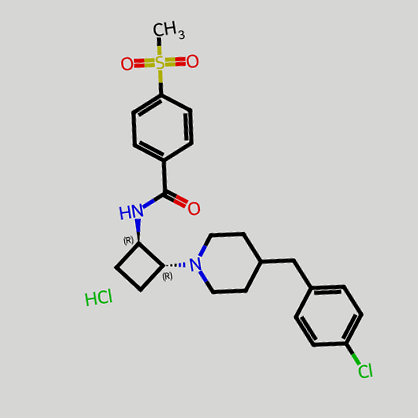 CS(=O)(=O)c1ccc(C(=O)N[C@@H]2CC[C@H]2N2CCC(Cc3ccc(Cl)cc3)CC2)cc1.Cl